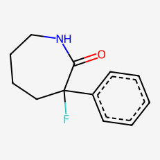 O=C1NCCCCC1(F)c1ccccc1